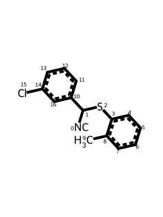 [C-]#[N+]C(Sc1ccccc1C)c1cccc(Cl)c1